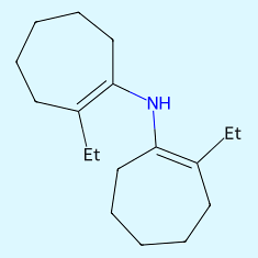 CCC1=C(NC2=C(CC)CCCCC2)CCCCC1